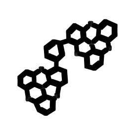 c1cc(-c2ccc3c4c2Oc2cccc5c2B4c2c(cccc2O3)O5)cc(-c2ccc3c4c2Oc2cccc5c2B4c2c(cccc2O3)O5)c1